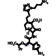 CC(C)C(O/N=C(\C(=O)NC1C(=O)N2C(C(=O)O)=C(CSc3nnnn3CCCN)CS[C@H]12)c1nsc(N)n1)C(=O)O